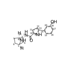 O=C(N[C@@H]1C[C@H]2CC[C@@H]1N2)c1ccc(-c2cccc(O)c2)[nH]1